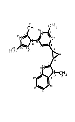 Cc1nc(C2CC2c2nc3ccccc3n2C)cc(-n2nc(C)nc2O)n1